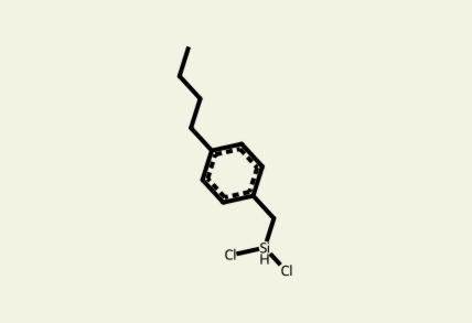 CCCCc1ccc(C[SiH](Cl)Cl)cc1